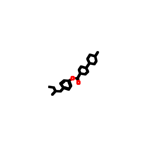 CCC(C)Cc1ccc(OC(=O)C2CCC(C3CCC(C)CC3)CC2)cc1